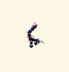 CC(C)n1cnc2cc(-c3ccc4c(c3)N([C@H]3C[C@@H](N5CCCCC5)C3)C(=O)C43CCN(C(=O)C4(C)CCN(C(=O)C5CCN(c6ccc(C7CCC(=O)NC7=O)cn6)CC5)CC4)CC3)nc(OC3CC3)c21